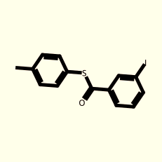 Cc1ccc(SC(=O)c2cccc(I)c2)cc1